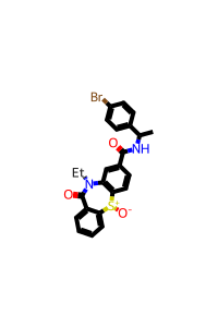 CCN1C(=O)c2ccccc2[S+]([O-])c2ccc(C(=O)NC(C)c3ccc(Br)cc3)cc21